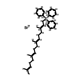 CC(C)=CCC/C(C)=C/CC/C(C)=C/CC/C(C)=C/C[P+](c1ccccc1)(c1ccccc1)c1ccccc1.[Br-]